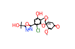 COC1=CC(=O)C[C@@H](C)[C@]1(C=O)Oc1c(C)c(O)cc(-c2nnc(C(C)(C)O)o2)c1Cl